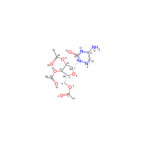 CC(=O)OC[C@H]1O[C@@H](n2ncc(N)nc2=O)C(OC(C)=O)C1OC(C)=O